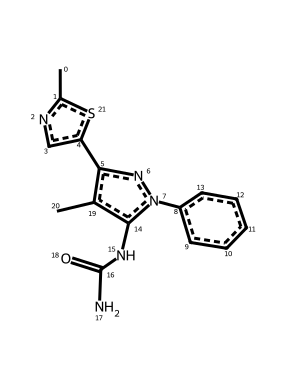 Cc1ncc(-c2nn(-c3ccccc3)c(NC(N)=O)c2C)s1